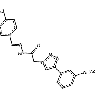 CC(=O)Nc1cccc(-c2cn(CC(=O)NN=Cc3ccc(Cl)cc3)nn2)c1